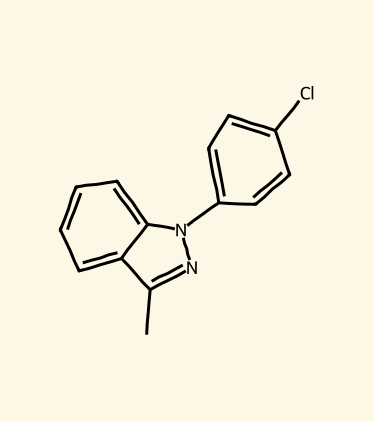 Cc1nn(-c2ccc(Cl)cc2)c2ccccc12